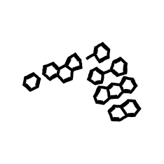 Cc1ccccc1.c1ccc(-c2ccccc2)cc1.c1ccc2c(c1)ccc1ccccc12.c1ccc2cc3ccccc3cc2c1.c1ccc2ccccc2c1.c1ccccc1